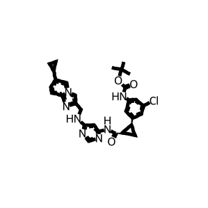 CC(C)(C)OC(=O)Nc1cc(Cl)cc([C@H]2C[C@@H]2C(=O)Nc2cc(NCc3cn4cc(C5CC5)ccc4n3)ncn2)c1